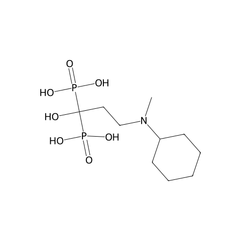 CN(CCC(O)(P(=O)(O)O)P(=O)(O)O)C1CCCCC1